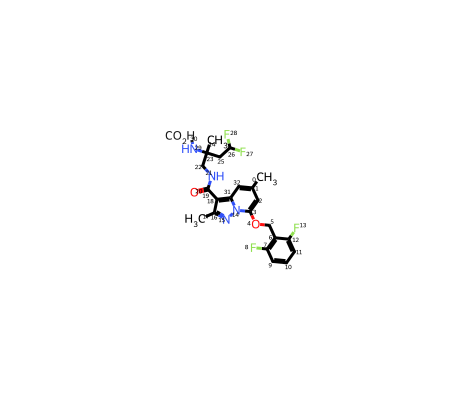 Cc1cc(OCc2c(F)cccc2F)n2nc(C)c(C(=O)NCC(C)(CC(F)F)NC(=O)O)c2c1